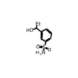 CCC(O)c1cccc(S(N)(=O)=O)c1